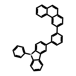 c1ccc(-n2c3ccccc3c3cc(-c4cccc(-c5ccc6ccc7ccccc7c6c5)c4)ccc32)cc1